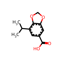 CC(C)c1cc(C(=O)O)cc2c1OCO2